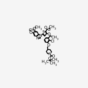 COC(=O)c1sc(-n2cnc3cc(OC)c(OC)cc32)cc1O[C@H](C)c1cccc(OCC2CCN(C(=O)OC(C)(C)C)CC2)c1Cl